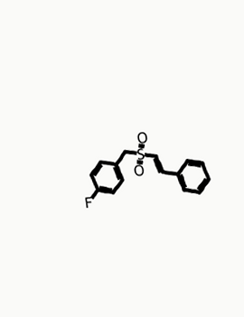 O=S(=O)(C=Cc1ccccc1)Cc1ccc(F)cc1